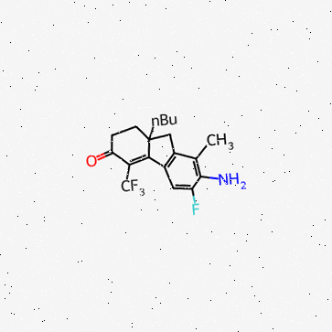 CCCCC12CCC(=O)C(C(F)(F)F)=C1c1cc(F)c(N)c(C)c1C2